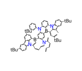 C=C/C=C\C(=C)N1/C=C/C=C\C2=CB(c3cc4c(cc31)B1/C(=C/C(=C)C(C)(C)C)c3c(C)c5cc(C(C)(C)C)ccc5n3-c3cccc(c31)N4c1ccccc1)c1cc(C(C)(C)C)cc3c4cc(C(C)(C)C)ccc4n2c13